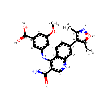 COc1cc(Nc2c(C(N)=O)cnc3cc(-c4c(C)noc4C)ccc23)cc(C(=O)O)c1